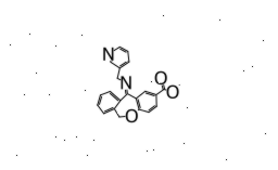 COC(=O)c1ccc2c(c1)/C(=N/Cc1cccnc1)c1ccccc1CO2